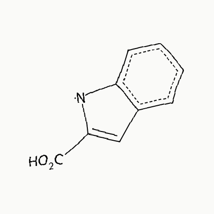 O=C(O)C1=Cc2ccccc2[N]1